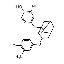 Nc1cc(OC23CC4CC(C2)CC(Oc2ccc(O)c(N)c2)(C4)C3)ccc1O